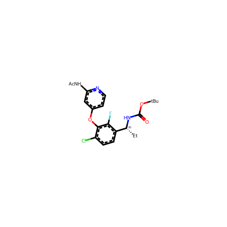 CC[C@@H](NC(=O)OC(C)(C)C)c1ccc(Cl)c(Oc2ccnc(NC(C)=O)c2)c1F